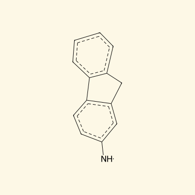 [NH]c1ccc2c(c1)Cc1ccccc1-2